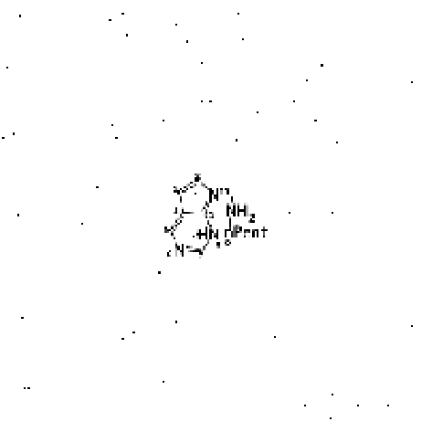 CCCCCN.c1cc2cnc[nH]c-2n1